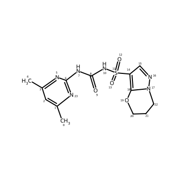 Cc1cc(C)nc(NC(=O)NS(=O)(=O)c2cnn3c2OCCC3)n1